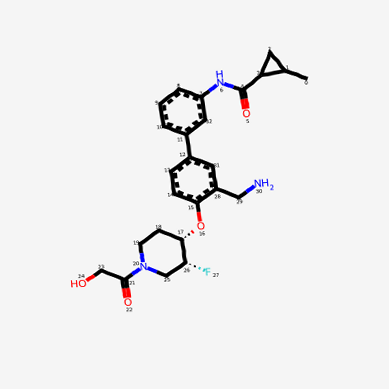 CC1CC1C(=O)Nc1cccc(-c2ccc(O[C@H]3CCN(C(=O)CO)C[C@H]3F)c(CN)c2)c1